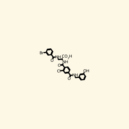 O=C(NCc1cccc(O)c1)c1ccc(C(=O)N[C@@H](CNC(=O)c2cccc(Br)c2)C(=O)O)c(Cl)c1